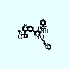 CN1C(=O)C2(CCC2)c2c1cnc1ccc(-c3cnc(OCCCN4CCCC4)c(NS(=O)(=O)c4ccccc4)c3)cc21